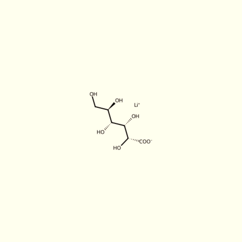 O=C([O-])[C@H](O)[C@@H](O)[C@H](O)[C@H](O)CO.[Li+]